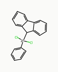 [Cl][Zr]([Cl])([c]1ccccc1)[CH]1c2ccccc2-c2ccccc21